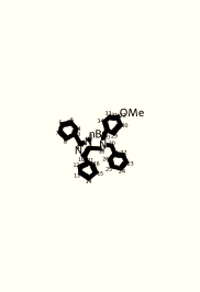 CCCCn1c(-c2ccccc2)nc(-c2ccccc2)c1CN(Cc1ccccc1)Cc1ccc(OC)cc1